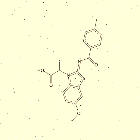 COc1ccc2c(c1)sc(=NC(=O)c1ccc(C)cc1)n2C(C)C(=O)O